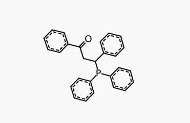 O=C(CC(c1ccccc1)P(c1ccccc1)c1ccccc1)c1ccccc1